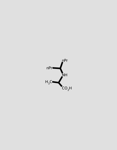 CCCC(CCC)NC(C)C(=O)O